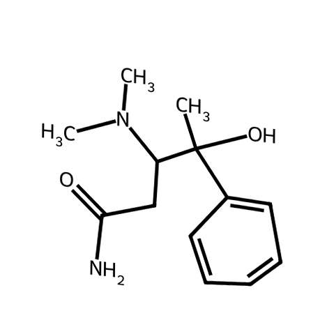 CN(C)C(CC(N)=O)C(C)(O)c1ccccc1